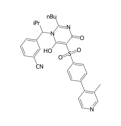 CCCCc1nc(=O)c(S(=O)(=O)c2ccc(-c3ccncc3C)cc2)c(O)n1C(c1cccc(C#N)c1)C(C)C